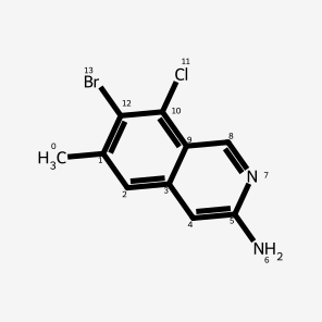 Cc1cc2cc(N)ncc2c(Cl)c1Br